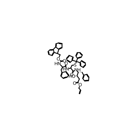 C=CCOC(=O)C[C@H](O)[C@@H](Cc1ccccc1)NC(=O)C(CSC(c1ccccc1)(c1ccccc1)c1ccccc1)NC(=O)C(Cc1ccccc1)NC(=O)OCC1c2ccccc2-c2ccccc21